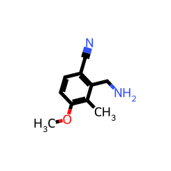 COc1ccc(C#N)c(CN)c1C